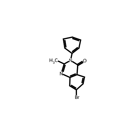 Cc1nc2cc(Br)ccc2c(=O)n1-c1ccccc1